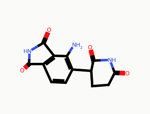 Nc1c(C2CCC(=O)NC2=O)ccc2c1C(=O)NC2=O